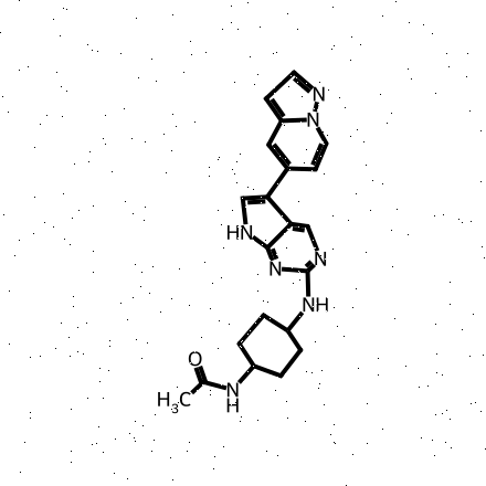 CC(=O)NC1CCC(Nc2ncc3c(-c4ccn5nccc5c4)c[nH]c3n2)CC1